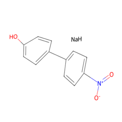 O=[N+]([O-])c1ccc(-c2ccc(O)cc2)cc1.[NaH]